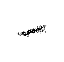 CCOC(=O)[C@H](CC(C)(C)F)N[C@@H](c1ccc2c(c1)oc1ccc(C(=O)N3CCN(C)CC3)cc12)C(F)(F)F